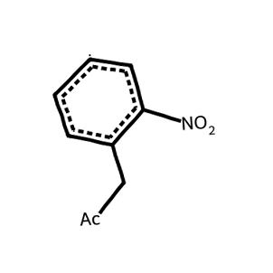 CC(=O)Cc1cc[c]cc1[N+](=O)[O-]